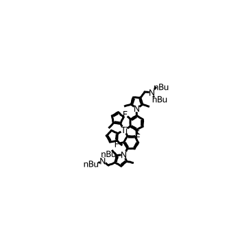 CCCCN(CCCC)Cc1cc(C)n(-c2ccc(F)[c]([Ti]([C]3=C(C)C=CC3)([C]3=C(C)C=CC3)[c]3c(F)ccc(-n4c(C)cc(CN(CCCC)CCCC)c4C)c3F)c2F)c1C